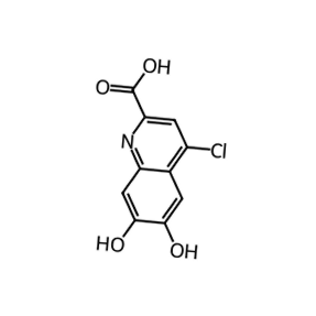 O=C(O)c1cc(Cl)c2cc(O)c(O)cc2n1